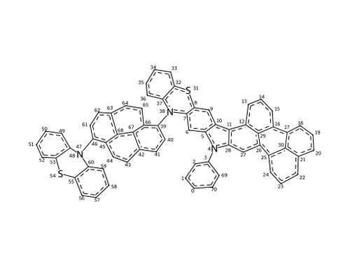 c1ccc(-n2c3cc4c(cc3c3c5cccc6c7cccc8cccc(c(cc32)c65)c87)sc2ccccc2n4-c2ccc3ccc4c(N5c6ccccc6Sc6ccccc65)ccc5ccc2c3c54)cc1